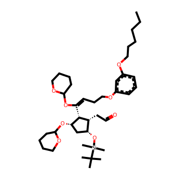 CCCCCCOc1cccc(OCC/C=C(/OC2CCCCO2)[C@@H]2[C@H](CC=O)[C@H](O[Si](C)(C)C(C)(C)C)C[C@@H]2OC2CCCCO2)c1